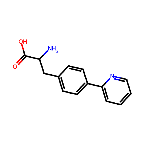 NC(Cc1ccc(-c2ccccn2)cc1)C(=O)O